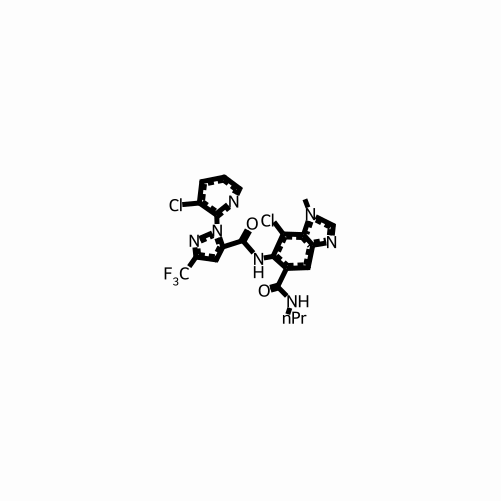 CCCNC(=O)c1cc2ncn(C)c2c(Cl)c1NC(=O)c1cc(C(F)(F)F)nn1-c1ncccc1Cl